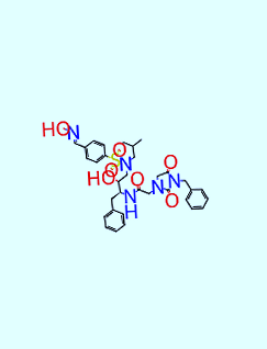 CC(C)CN(C[C@H](O)[C@H](Cc1ccccc1)NC(=O)CN1CC(=O)N(Cc2ccccc2)C1=O)S(=O)(=O)c1ccc(C=NO)cc1